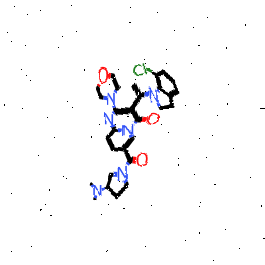 CC(c1c(N2CCOCC2)nc2ccc(C(=O)N3CC[C@@H](N(C)C)C3)cn2c1=O)N1CCc2cccc(Cl)c21